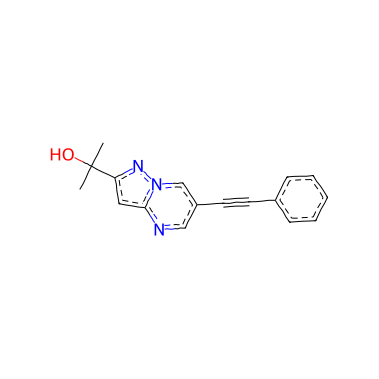 CC(C)(O)c1cc2ncc(C#Cc3ccccc3)cn2n1